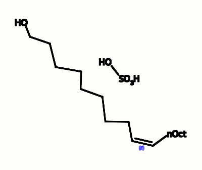 CCCCCCCC/C=C\CCCCCCCCO.O=S(=O)(O)O